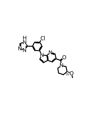 CO[C@H]1CCCN(C(=O)c2cnc3c(ccn3-c3cc(Cl)cc(-c4nnc[nH]4)c3)c2)C1